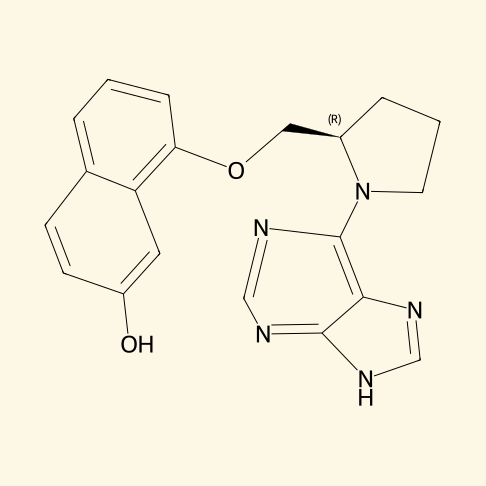 Oc1ccc2cccc(OC[C@H]3CCCN3c3ncnc4[nH]cnc34)c2c1